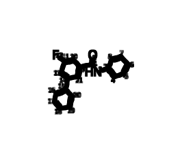 O=C(Nc1c[c]ccc1)c1cc(F)cc(-c2ccccc2)c1